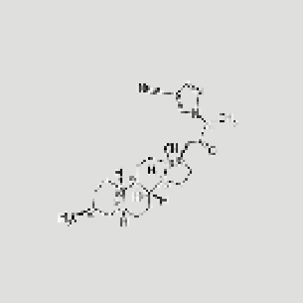 C[C@H]1CC[C@H]2[C@H](CC[C@@H]3[C@@H]2CC[C@]2(C)[C@@H](CC(=O)[C@@H](C)n4cc(C#N)cn4)CC[C@@H]32)C1